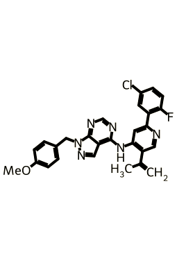 C=C(C)c1cnc(-c2cc(Cl)ccc2F)cc1Nc1ncnc2c1cnn2Cc1ccc(OC)cc1